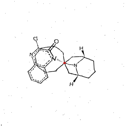 O=c1c(Cl)nc2ccccc2n1[C@H]1C[C@H]2CCC[C@@H](C1)N2C1CCCCCCC1